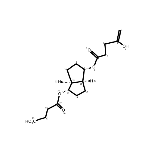 C=C(O)CCC(=O)O[C@H]1CC[C@H]2[C@@H]1CC[C@@H]2OC(=O)CCC(=O)O